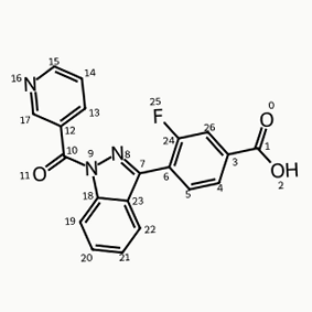 O=C(O)c1ccc(-c2nn(C(=O)c3cccnc3)c3ccccc23)c(F)c1